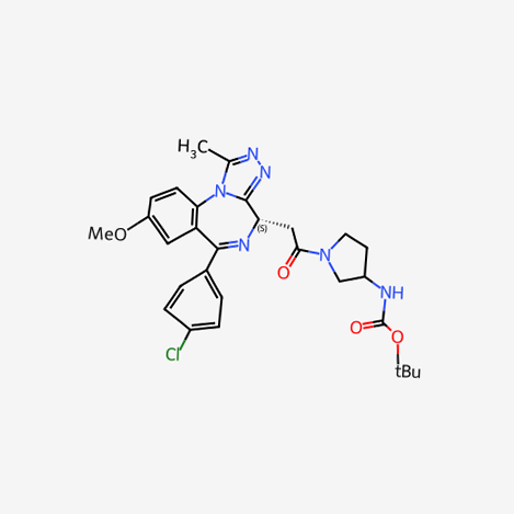 COc1ccc2c(c1)C(c1ccc(Cl)cc1)=N[C@@H](CC(=O)N1CCC(NC(=O)OC(C)(C)C)C1)c1nnc(C)n1-2